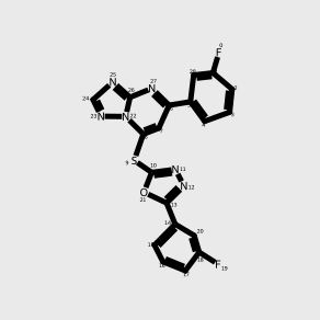 Fc1cccc(-c2cc(Sc3nnc(-c4cccc(F)c4)o3)n3ncnc3n2)c1